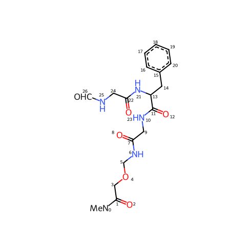 CNC(=O)COCNC(=O)CNC(=O)C(Cc1ccccc1)NC(=O)CNC=O